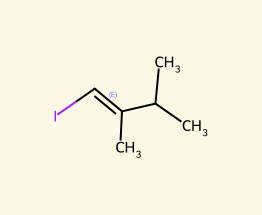 C/C(=C\I)C(C)C